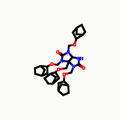 O=C1NC2N(COC3CC4CCC3C4)C(=O)N(COC3CC4CCC3C4)C2(COC2CC3CCC2C3)N1COC1CC2CCC1C2